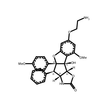 COc1ccc([C@@]23Oc4cc(OCCN)cc(OC)c4[C@]2(O)[C@@H]2OC(=O)N[C@@H]2[C@H]3c2ccccc2)cc1